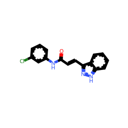 O=C(/C=C/c1n[nH]c2ccccc12)Nc1cccc(Cl)c1